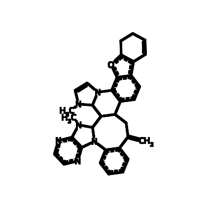 C=C1CC2c3ccc4c5c(oc4c3N3C=CN(C)C3C2C2N(C)c3nccnc3N2c2ccccc21)CCC=C5